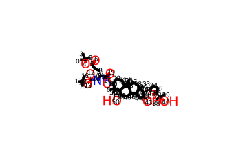 CC(C)(C)OC(=O)CC[C@H](NC(=O)OC(C)(C)C)C(=O)O[C@H]1CCC23CC24CC[C@]2(C)[C@@H]([C@@]5(C)CC[C@@H](C(C)(C)O)O5)[C@@H](O)C[C@@]2(C)C4C[C@H](O)[C@H]3C1(C)C